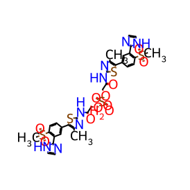 Cc1nc(NC(=O)COS(=O)(=O)OCC(=O)Nc2nc(C)c(-c3ccc(S(C)(=O)=O)c(-c4ncc[nH]4)c3)s2)sc1-c1ccc(S(C)(=O)=O)c(-c2ncc[nH]2)c1.O